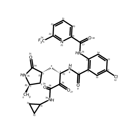 C[C@@H]1C[C@@H](C[C@H](NC(=O)c2cc(Cl)ccc2NC(=O)c2cccc(C(F)(F)F)n2)C(=O)C(=O)NC2CC2)C(=O)N1